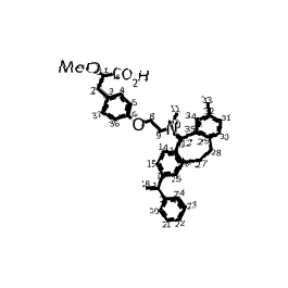 COC(Cc1ccc(OCCN(C)C2c3ccc(C(C)c4ccccc4)cc3CCc3ccc(C)cc32)cc1)C(=O)O